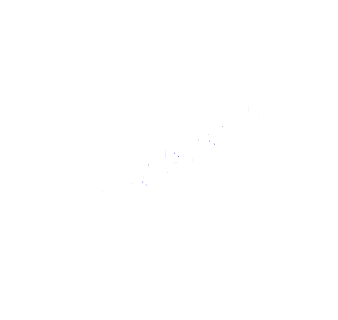 CCCNCCNCCNC(=O)CCC